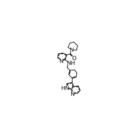 O=C(c1cccnc1NCC1=CC(c2c[nH]c3ncccc23)=CCC1)N1CCCCC1